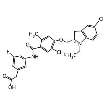 CCN1c2ccc(Cl)cc2C[C@H]1COc1cc(C)c(C(=O)Nc2cc(F)cc(CC(=O)O)c2)cc1C